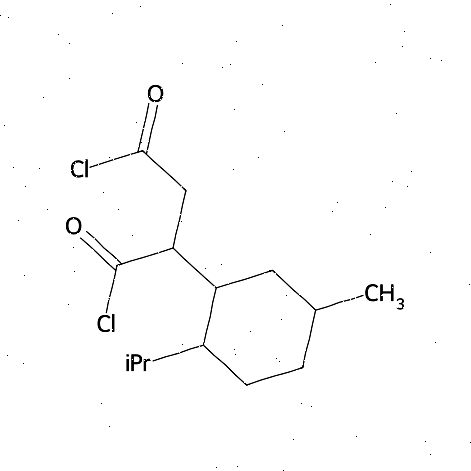 CC1CCC(C(C)C)C(C(CC(=O)Cl)C(=O)Cl)C1